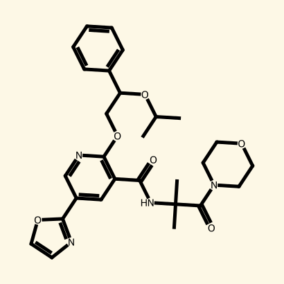 CC(C)OC(COc1ncc(-c2ncco2)cc1C(=O)NC(C)(C)C(=O)N1CCOCC1)c1ccccc1